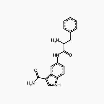 NC(=O)c1c[nH]c2ccc(NC(=O)C(N)Cc3ccccc3)cc12